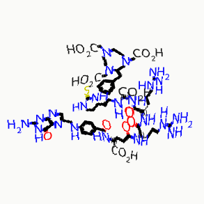 N=C(N)NCCC[C@H](NC(=O)CC[C@H](NC(=O)c1ccc(NCc2cnc3nc(N)[nH]c(=O)c3n2)cc1)C(=O)O)C(=O)N[C@@H](CCCNC(=N)N)C(=O)N[C@@H](NCCCCCNC(=S)Nc1ccc(CC2CN(CC(=O)O)CCN(CC(=O)O)CCN2CC(=O)O)cc1)C(=O)O